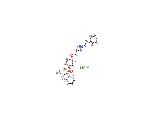 CC(C)c1cn2ccccc2c1S(=O)(=O)c1ccc(OCCCNCCc2ccccc2)cc1.Cl